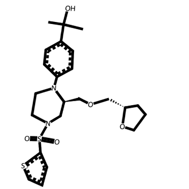 CC(C)(O)c1ccc(N2CCN(S(=O)(=O)c3cccs3)C[C@@H]2COC[C@@H]2CCCO2)cc1